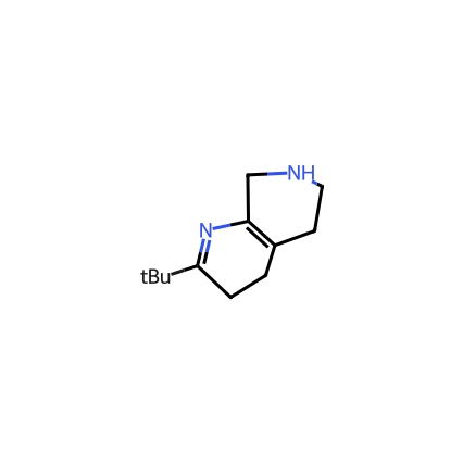 CC(C)(C)C1=NC2=C(CCNC2)CC1